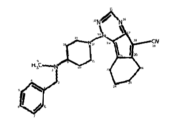 CN(Cc1ccccc1)C1CCN(n2ncnc3c(C#N)c4c(c2-3)CCCC4)CC1